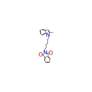 Cc1cc2ccccc2n1CCCCCCN1C(=O)c2ccccc2C1=O